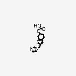 O=C(O)OC1CCc2cc(Cn3ccnc3)sc2C1